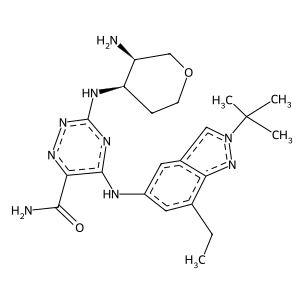 CCc1cc(Nc2nc(N[C@@H]3CCOC[C@@H]3N)nnc2C(N)=O)cc2cn(C(C)(C)C)nc12